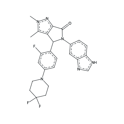 Cc1c2c(nn1C)C(=O)N(c1ccc3[nH]cnc3c1)C2c1ccc(N2CCC(F)(F)CC2)cc1F